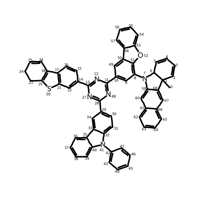 CC12C=CC=CC1N(c1cc(-c3nc(-c4ccc5c6c(sc5c4)CCC=C6)nc(-c4ccc5c(c4)c4ccccc4n5-c4ccccc4)n3)cc3c1oc1ccccc13)c1cc3ccccc3cc12